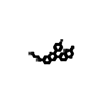 O=C1COc2ccc(C3=Cc4ccc(NCCO)cc4SC3c3ccc(F)cc3)cc2N1